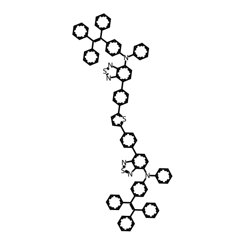 c1ccc(C(=C(c2ccccc2)c2ccc(N(c3ccccc3)c3ccc(-c4ccc(-c5ccc(-c6ccc(-c7ccc(N(c8ccccc8)c8ccc(C(=C(c9ccccc9)c9ccccc9)c9ccccc9)cc8)c8c7N=S=N8)cc6)s5)cc4)c4c3N=S=N4)cc2)c2ccccc2)cc1